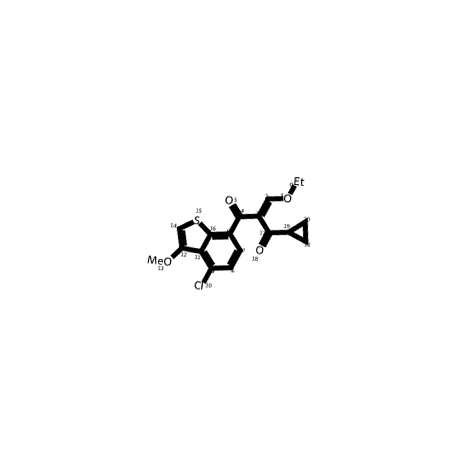 CCOC=C(C(=O)c1ccc(Cl)c2c(OC)csc12)C(=O)C1CC1